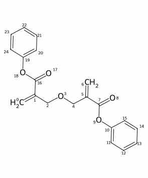 C=C(COCC(=C)C(=O)Oc1ccccc1)C(=O)Oc1ccccc1